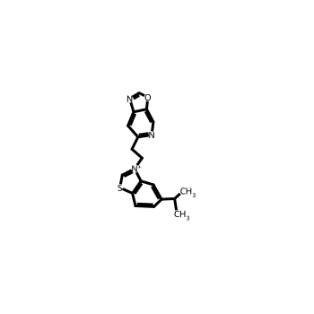 CC(C)c1ccc2sc[n+](CCc3cc4ncoc4cn3)c2c1